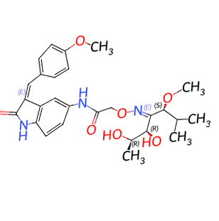 COc1ccc(/C=C2/C(=O)Nc3ccc(NC(=O)CO/N=C(/[C@@H](OC)C(C)C)[C@@H](O)[C@@H](C)O)cc32)cc1